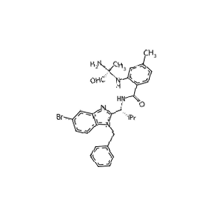 Cc1ccc(C(=O)N[C@@H](c2nc3cc(Br)ccc3n2Cc2ccccc2)C(C)C)c(N[C@](C)(N)C=O)c1